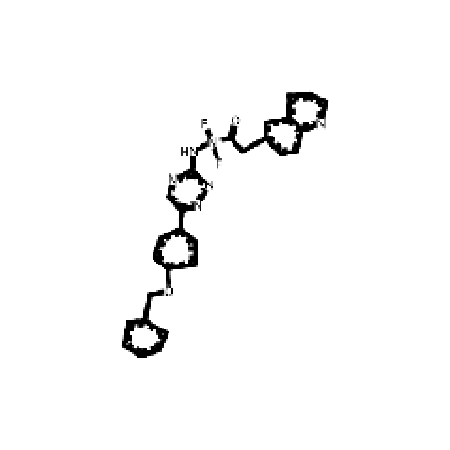 O=C(Cc1ccc2ncccc2c1)[N+](F)(F)Nc1ncc(-c2ccc(OCc3ccccc3)cc2)nn1